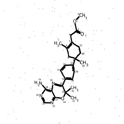 COC(=O)CC1=C(C)CC(C)(c2ccc(C3=Nc4c(N)ncnc4OC3(C)C)cc2)CC1